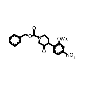 COc1cc([N+](=O)[O-])ccc1C1CCN(C(=O)OCc2ccccc2)CC1=O